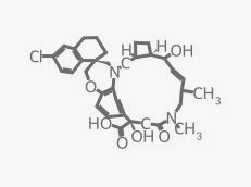 CC1/C=C/C(O)[C@@H]2CC[C@H]2CN2C[C@@]3(CCCc4cc(Cl)ccc43)COc3ccc(cc32)[C@@](O)(C(=O)O)CC(=O)N(C)C1